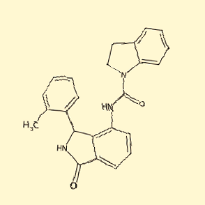 Cc1ccccc1C1NC(=O)c2cccc(NC(=O)N3CCc4ccccc43)c21